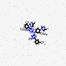 COc1cc(N(C2=NN(C)C(c3cc(C(F)(F)F)ccc3OC)(n3cnc(C)c3)N2)c2nc(-c3cccc(C(F)(F)F)c3)n(C(C)C)n2)ccc1-n1cnc(C)c1